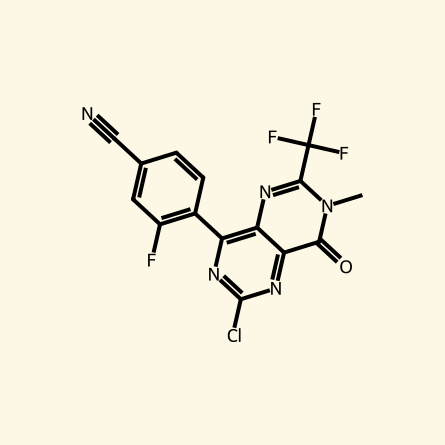 Cn1c(C(F)(F)F)nc2c(-c3ccc(C#N)cc3F)nc(Cl)nc2c1=O